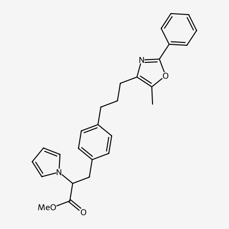 COC(=O)C(Cc1ccc(CCCc2nc(-c3ccccc3)oc2C)cc1)n1cccc1